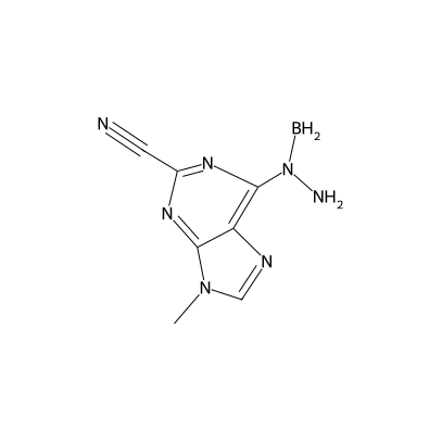 BN(N)c1nc(C#N)nc2c1ncn2C